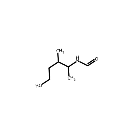 CC(CCO)C(C)NC=O